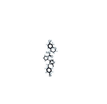 Cc1nnc([C@H]2CCCN2C(=O)N[C@H]2CCOc3cc(C(F)(F)F)ccc32)n1Cc1ccc(Br)cc1